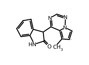 Cc1[c]cn2ncnc(C3C(=O)Nc4ccccc43)c12